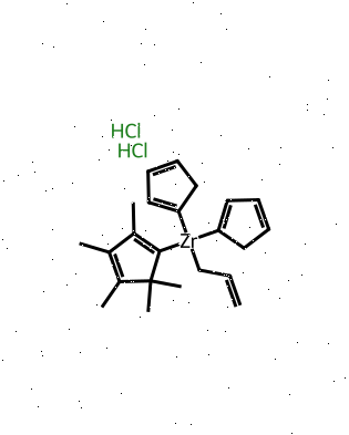 C=C[CH2][Zr]([C]1=CC=CC1)([C]1=CC=CC1)[C]1=C(C)C(C)=C(C)C1(C)C.Cl.Cl